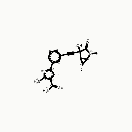 C[C@H]1C2C1C(O)(C#Cc1cccc(-c3nc(C(N)=O)c(N)s3)c1)C(=O)N2C